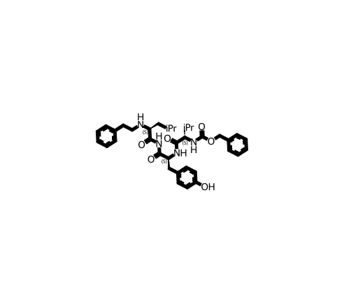 CC(C)C[C@H](NCCc1ccccc1)C(=O)NC(=O)[C@H](Cc1ccc(O)cc1)NC(=O)[C@@H](NC(=O)OCc1ccccc1)C(C)C